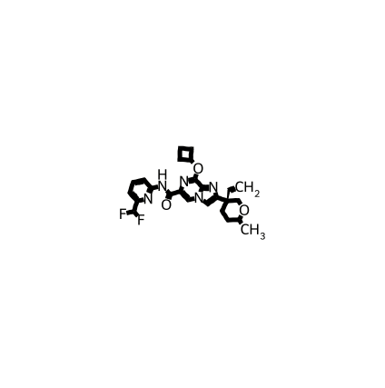 C=C[C@]1(c2cn3cc(C(=O)Nc4cccc(C(F)F)n4)nc(OC4CCC4)c3n2)CCC(C)OC1